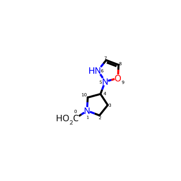 O=C(O)N1CCC(N2NC=CO2)C1